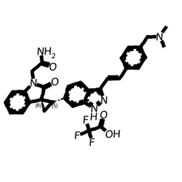 CN(C)Cc1ccc(C=Cc2n[nH]c3cc([C@@H]4C[C@@]45C(=O)N(CC(N)=O)c4ccccc45)ccc23)cc1.O=C(O)C(F)(F)F